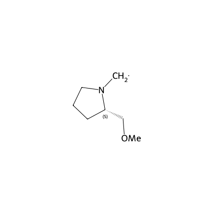 [CH2]N1CCC[C@H]1COC